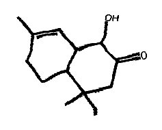 CC1=CC2C(O)C(=O)CC(C)(C)C2CC1